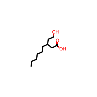 CCCCCCC(CCO)CC(=O)O